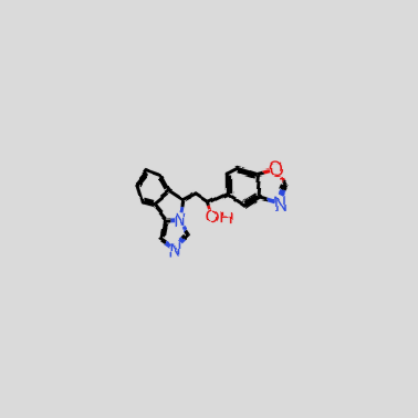 OC(CC1c2ccccc2-c2cncn21)c1ccc2ocnc2c1